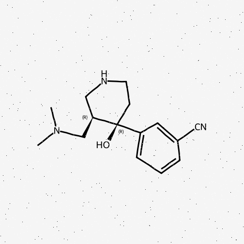 CN(C)C[C@H]1CNCC[C@]1(O)c1cccc(C#N)c1